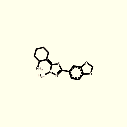 CN1N=C(c2ccc3c(c2)OCO3)SC1=C1CCCCC1N